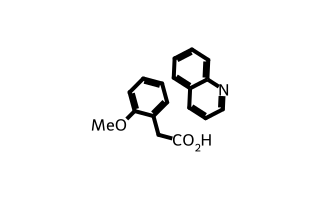 COc1ccccc1CC(=O)O.c1ccc2ncccc2c1